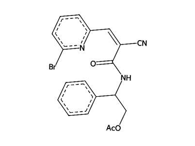 CC(=O)OCC(NC(=O)C(C#N)=Cc1cccc(Br)n1)c1ccccc1